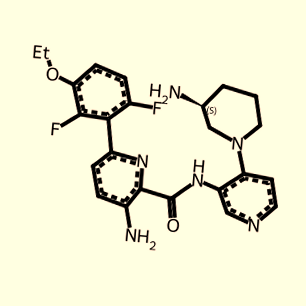 CCOc1ccc(F)c(-c2ccc(N)c(C(=O)Nc3cnccc3N3CCC[C@H](N)C3)n2)c1F